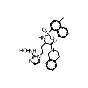 Cc1ccc(S(=O)(=O)NC(CCn2ccnc2NO)C(=O)N2CCc3ccccc3C2)c2ccccc12